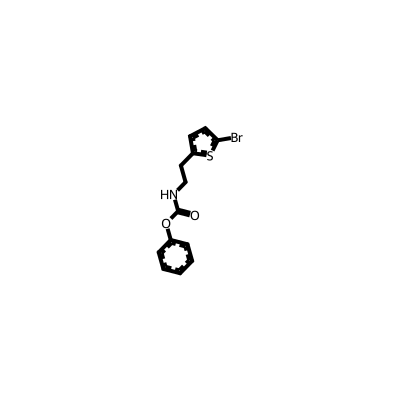 O=C(NCCc1ccc(Br)s1)Oc1ccccc1